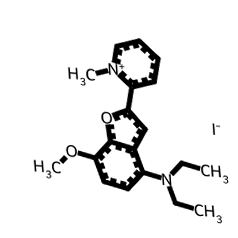 CCN(CC)c1ccc(OC)c2oc(-c3cccc[n+]3C)cc12.[I-]